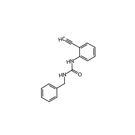 C#Cc1ccccc1NC(=O)NCc1ccccc1